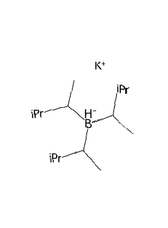 CC(C)C(C)[BH-](C(C)C(C)C)C(C)C(C)C.[K+]